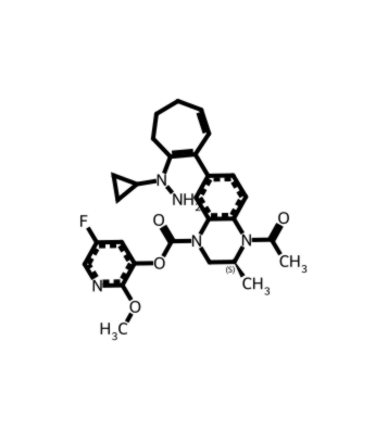 COc1ncc(F)cc1OC(=O)N1C[C@H](C)N(C(C)=O)c2ccc(C3=C(N(N)C4CC4)CCCC=C3)cc21